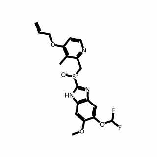 C=CCOc1ccnc(C[S+]([O-])c2nc3cc(OC(F)F)c(OC)cc3[nH]2)c1C